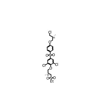 CCS(=O)(=O)C[C@H](C)COc1c(Cl)cc(S(=O)(=O)c2ccc(OC[C@@H](C)CCl)cc2)cc1Cl